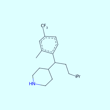 Cc1cc(C(F)(F)F)ccc1C(CCC(C)C)C1CCNCC1